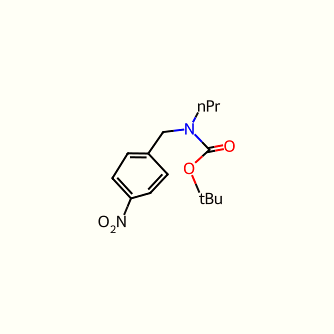 CCCN(Cc1ccc([N+](=O)[O-])cc1)C(=O)OC(C)(C)C